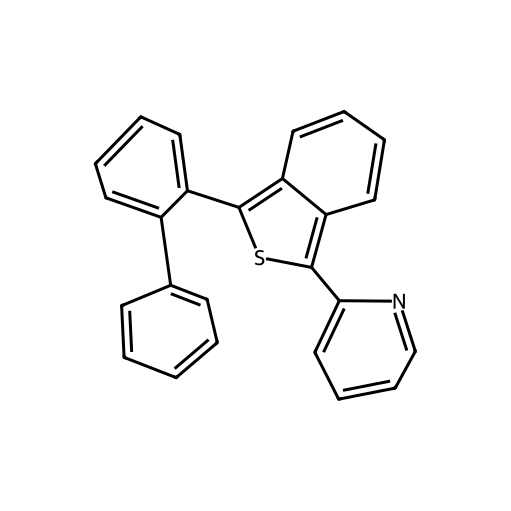 c1ccc(-c2ccccc2-c2sc(-c3ccccn3)c3ccccc23)cc1